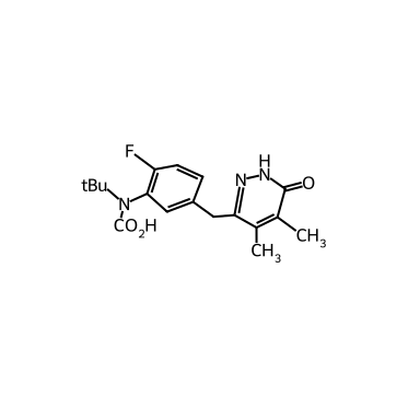 Cc1c(Cc2ccc(F)c(N(C(=O)O)C(C)(C)C)c2)n[nH]c(=O)c1C